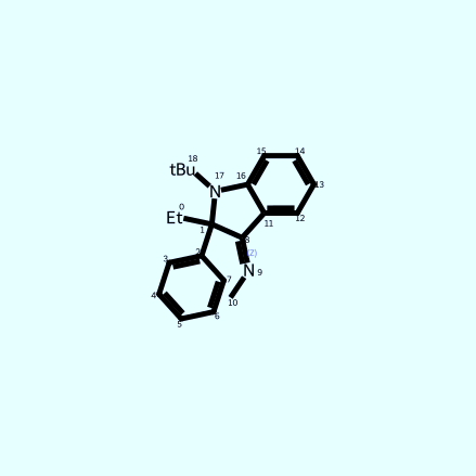 CCC1(c2ccccc2)/C(=N\C)c2ccccc2N1C(C)(C)C